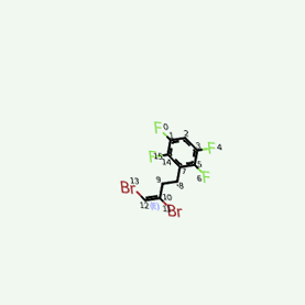 Fc1cc(F)c(F)c([CH]C/C(Br)=C\Br)c1F